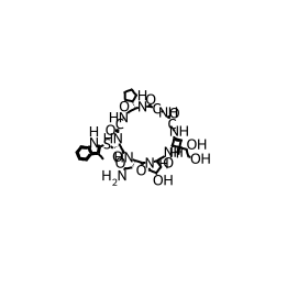 Cc1c(SC[C@@H]2NC(=O)CNC(=O)[C@H](C3CCCC3)NC(=O)CNC(=O)CNC3=CC(C)([C@@H](O)CO)[C@@H]3NC(=O)[C@@H]3C[C@@H](O)CN3C(=O)[C@H](CC(N)=O)NC2=O)[nH]c2ccccc12